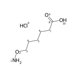 Cl.NOCCCCCC(=O)O